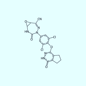 N#CC1=NN(c2cc(Cl)c(Oc3n[nH]c(=O)c4c3CCC4)c(Cl)c2)C(=O)NC2OC12